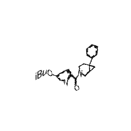 CC(C)COc1ccc(C(=O)N2CCC3(c4ccccc4)CC3C2)nc1